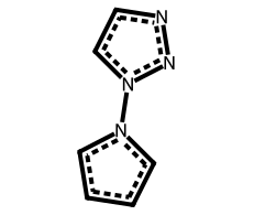 c1ccn(-n2ccnn2)c1